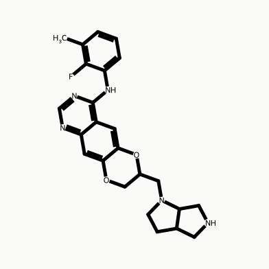 Cc1cccc(Nc2ncnc3cc4c(cc23)OC(CN2CCC3CNCC32)CO4)c1F